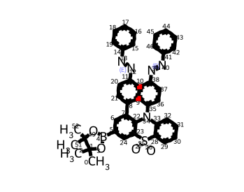 CC1(C)OB(c2cc(-c3ccc(/N=N/c4ccccc4)cc3)c3c(c2)S(=O)(=O)c2ccccc2N3c2ccc(/N=N/c3ccccc3)cc2)OC1(C)C